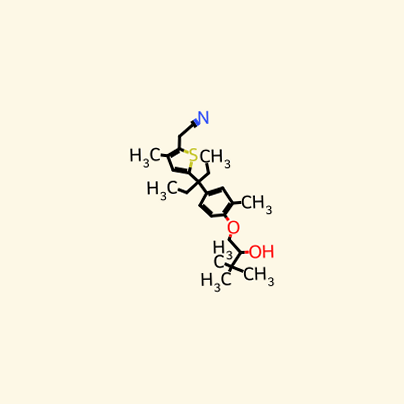 CCC(CC)(c1ccc(OCC(O)C(C)(C)C)c(C)c1)c1cc(C)c(CC#N)s1